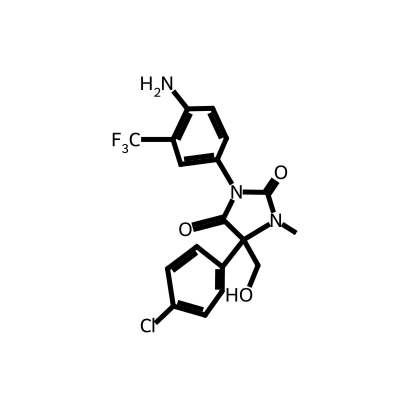 CN1C(=O)N(c2ccc(N)c(C(F)(F)F)c2)C(=O)C1(CO)c1ccc(Cl)cc1